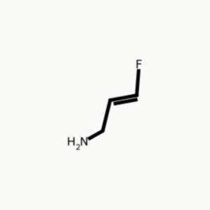 NCC=CF